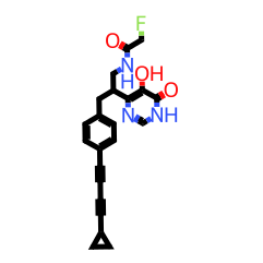 O=C(CF)NCC(Cc1ccc(C#CC#CC2CC2)cc1)c1nc[nH]c(=O)c1O